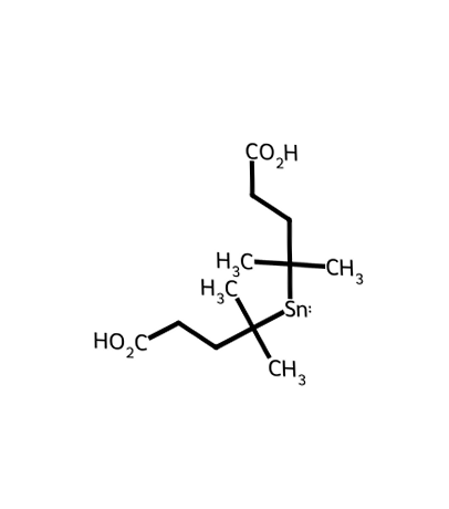 C[C](C)(CCC(=O)O)[Sn][C](C)(C)CCC(=O)O